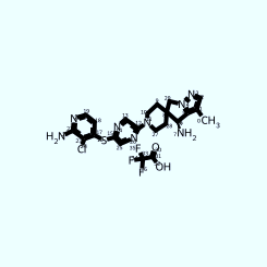 Cc1cnn2c1[C@@H](N)C1(CCN(c3cnc(Sc4ccnc(N)c4Cl)cn3)CC1)C2.O=C(O)C(F)(F)F